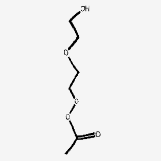 CC(=O)OOCCOCCO